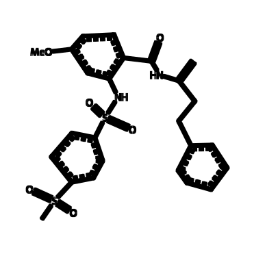 C=C(CCc1ccccc1)NC(=O)c1ccc(OC)cc1NS(=O)(=O)c1ccc(S(C)(=O)=O)cc1